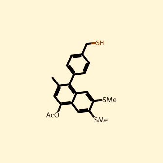 CSc1cc2c(OC(C)=O)cc(C)c(-c3ccc(CS)cc3)c2cc1SC